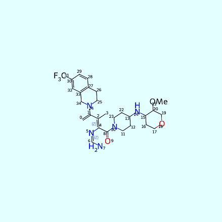 C=C(/C(C)=C(\N=C/N)C(=O)N1CCC(NC2CCOCC2OC)CC1)N1CCc2ccc(C(F)(F)F)cc2C1